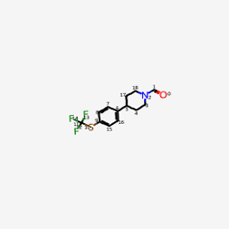 O=CN1CCC(c2ccc(SC(F)(F)F)cc2)CC1